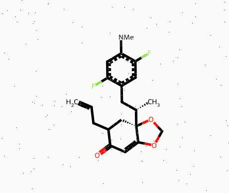 C=CCC1C[C@]2([C@@H](C)Cc3cc(F)c(NC)cc3F)OCOC2=CC1=O